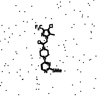 CSc1nccc(N2CCN(C(=O)Cn3nc(C(F)(F)F)c(Cl)c3C)CC2)n1